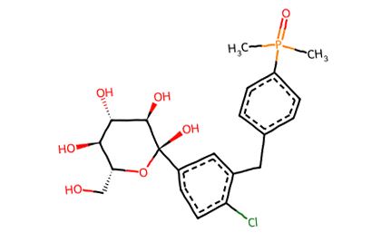 CP(C)(=O)c1ccc(Cc2cc([C@]3(O)O[C@H](CO)[C@@H](O)[C@H](O)[C@H]3O)ccc2Cl)cc1